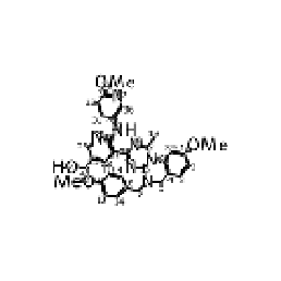 COc1ccc(CN(Cc2ccc(OC)cc2)c2nc(C)nc(-c3cc(CO)cnc3Nc3ccc(OC)nc3)n2)cc1